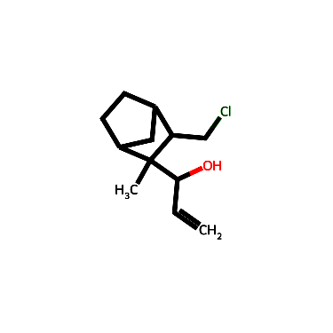 C=CC(O)C1(C)C2CCC(C2)C1CCl